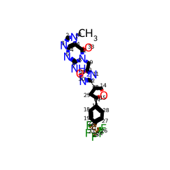 Cn1cnc2nc(N)n(Cc3nc([C@@H]4CO[C@@H](c5ccc(S(F)(F)(F)(F)F)cc5)C4)no3)c(=O)c21